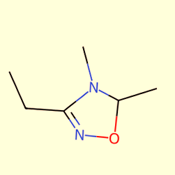 CCC1=NOC(C)N1C